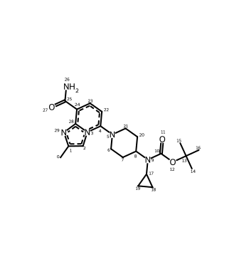 Cc1cn2c(N3CCC(N(C(=O)OC(C)(C)C)C4CC4)CC3)ccc(C(N)=O)c2n1